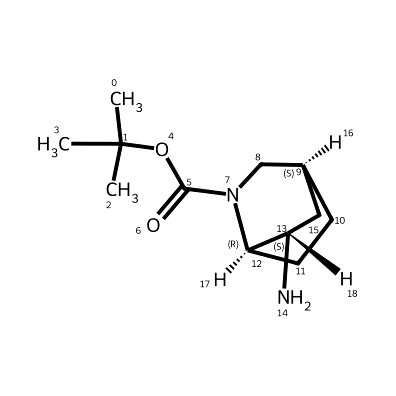 CC(C)(C)OC(=O)N1C[C@H]2CC[C@@H]1[C@@H](N)C2